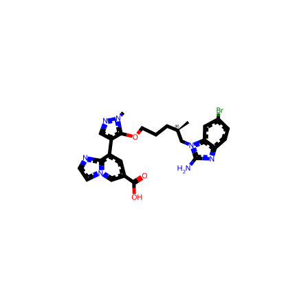 C[C@H](CCCOc1c(-c2cc(C(=O)O)cn3ccnc23)cnn1C)Cn1c(N)nc2ccc(Br)cc21